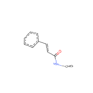 O=CNC(=O)C=Cc1ccccc1